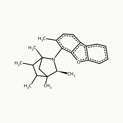 Cc1ccc2c(oc3ccccc32)c1N1[C@@H](C)C2(C)CC1(C)C(C)C2C